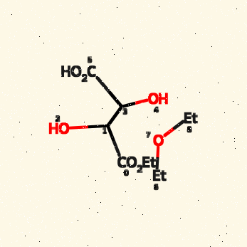 CCOC(=O)C(O)C(O)C(=O)O.CCOCC